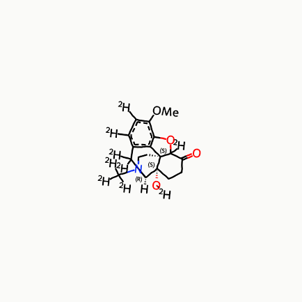 [2H]O[C@@]12CCC(=O)C3([2H])Oc4c(OC)c([2H])c([2H])c5c4[C@@]31CCN(C([2H])([2H])[2H])[C@@H]2C5([2H])[2H]